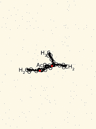 C=CC(=O)OCCCCOc1ccc2cc(C(=O)Oc3ccc(OC(=O)c4ccc(OCCOCCOC(=O)C=C)c(OCCOCCOC(=O)C=C)c4)cc3OC(C)=O)ccc2c1